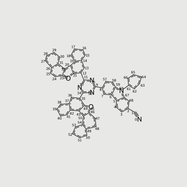 N#Cc1ccc2c3cc(-c4nc(-c5cc6ccccc6c6c5oc5ccc7ccccc7c56)nc(-c5cc6ccccc6c6c5oc5ccc7ccccc7c56)n4)ccc3n(-c3ccccc3)c2c1